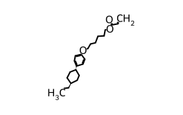 C=CC(=O)OCCCCCCOc1ccc([C@H]2CC[C@H](CCC)CC2)cc1